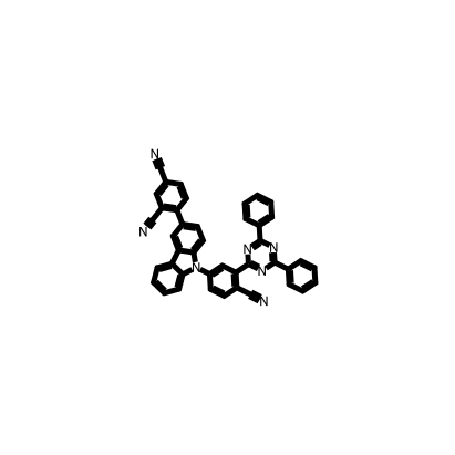 N#Cc1ccc(-c2ccc3c(c2)c2ccccc2n3-c2ccc(C#N)c(-c3nc(-c4ccccc4)nc(-c4ccccc4)n3)c2)c(C#N)c1